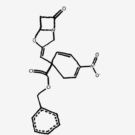 O=C1CC2O/C(=C/C3(C(=O)OCc4ccccc4)C=CC([N+](=O)[O-])=CC3)CN12